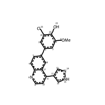 COc1cc(-c2ccc3nc[c]c(-c4cn[nH]c4)c3c2)cc(Cl)c1O